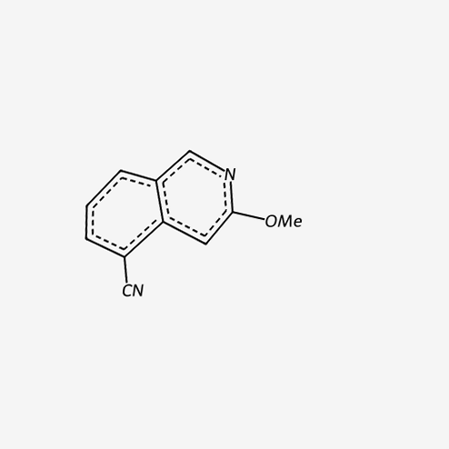 COc1cc2c(C#N)cccc2cn1